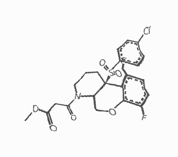 COC(=O)CC(=O)N1CCC[C@]2(S(=O)(=O)c3ccc(Cl)cc3)c3c(F)ccc(F)c3OCC12